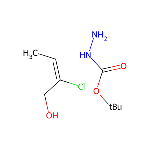 C/C=C(/Cl)CO.CC(C)(C)OC(=O)NN